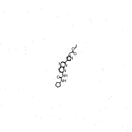 CCOC(=O)Cn1cc(-c2cnc3ccc(NC(=O)NC4CCCC4)nc3n2)cn1